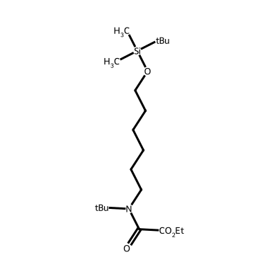 CCOC(=O)C(=O)N(CCCCCCO[Si](C)(C)C(C)(C)C)C(C)(C)C